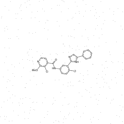 COc1nccc(C(=O)Nc2ccc(Cl)c(-c3ncc(-c4ccccc4)[nH]3)c2)c1Cl